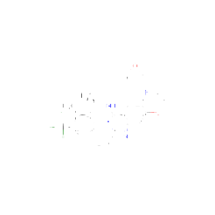 Cc1nc(N[C@H](C)c2cccc(C(F)(F)F)c2C)c2cc3c(cc2n1)OCCN3C1CCOC1